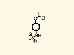 CC(Cl)Oc1ccc(NS(C)(=O)=O)cc1